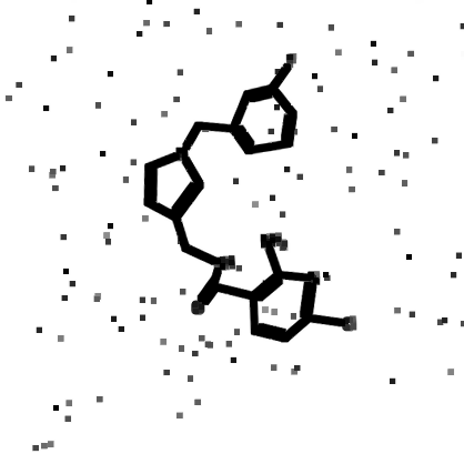 Nc1nc(Cl)ccc1C(=O)NCc1ccn(Cc2cccc(F)c2)c1